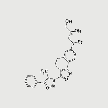 CCN(C[C@H](O)CO)c1ccc2c(c1)CCc1c-2noc1-c1noc(-c2ccccc2)c1C(F)(F)F